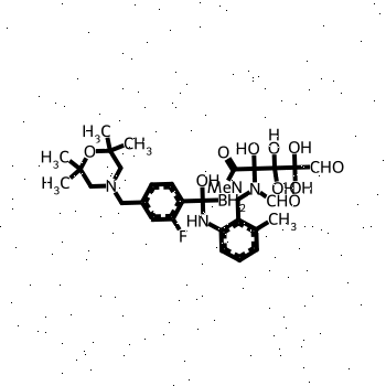 BC(O)(Nc1cccc(C)c1CN(C=O)C(O)(C(=O)NC)C(O)(O)C(O)(O)C=O)c1ccc(CN2CC(C)(C)OC(C)(C)C2)cc1F